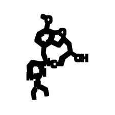 CCN(CC)c1nccc(N2C/C=C/[C@H](O)CC3Cc4c(ccc(OC)c4O3)C2)n1